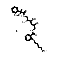 COCCCCOc1ccccc1C(=O)NCC(CC(N)C(O)CNC(=O)C(C)(OC)c1ccccc1)C(C)C.Cl